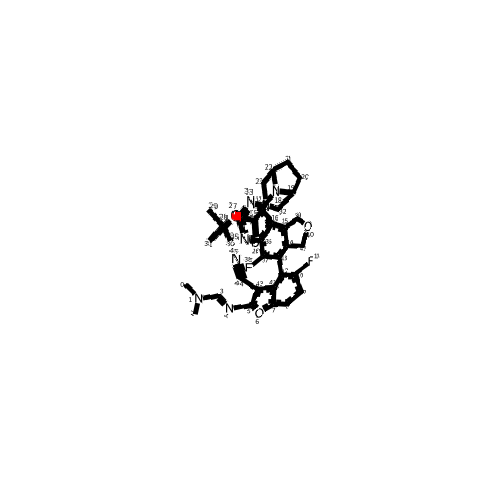 CN(C)C=Nc1oc2ccc(F)c(-c3c4c(c5c(N6C7CCC6CN(C(=O)OC(C)(C)C)C7)ncnc5c3F)COC4)c2c1C#N